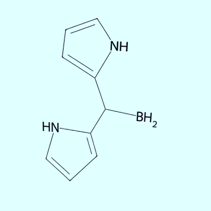 BC(c1ccc[nH]1)c1ccc[nH]1